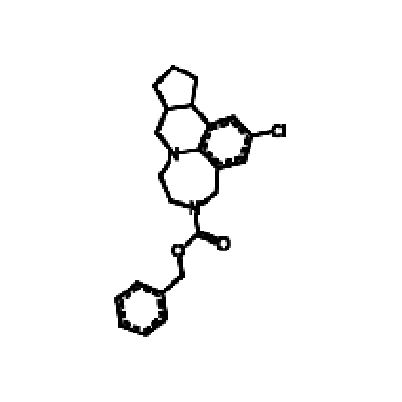 O=C(OCc1ccccc1)N1CCN2CC3CCCC3c3cc(Cl)cc(c32)C1